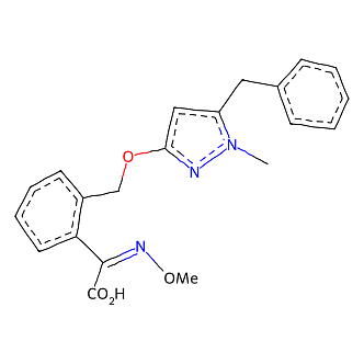 CON=C(C(=O)O)c1ccccc1COc1cc(Cc2ccccc2)n(C)n1